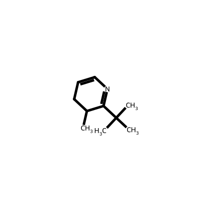 CC1CC=CN=C1C(C)(C)C